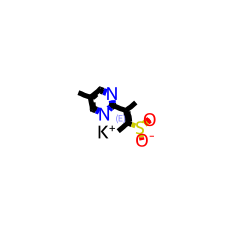 C/C(=C(/C)S(=O)[O-])c1ncc(C)cn1.[K+]